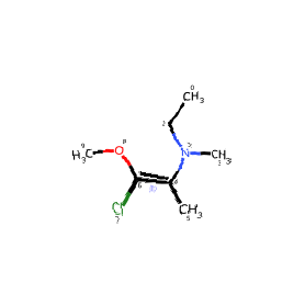 CCN(C)/C(C)=C(/Cl)OC